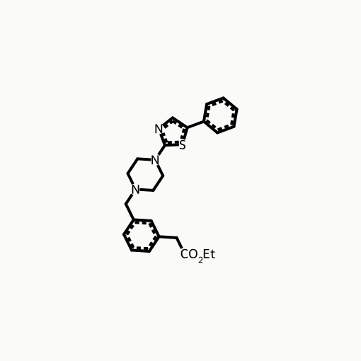 CCOC(=O)Cc1cccc(CN2CCN(c3ncc(-c4ccccc4)s3)CC2)c1